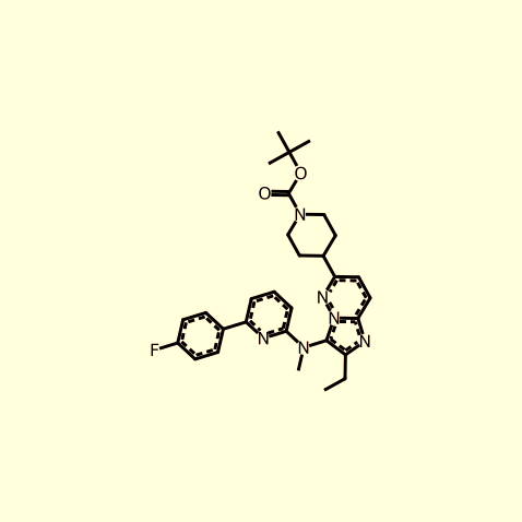 CCc1nc2ccc(C3CCN(C(=O)OC(C)(C)C)CC3)nn2c1N(C)c1cccc(-c2ccc(F)cc2)n1